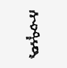 Cc1cnc(NC(=O)C(C)c2cccc(-c3ccc(C=CC(=O)NC=O)nc3)c2)s1